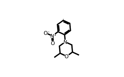 CC1CN(c2cc[c]cc2[N+](=O)[O-])CC(C)O1